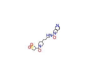 O=C(NCCCCC1CCN(C(=O)C2CCS(=O)(=O)C2)CC1)N1Cc2ccncc2C1